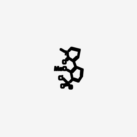 COc1c(-c2cccn(C)c2=O)cccc1S(=O)(=O)Cl